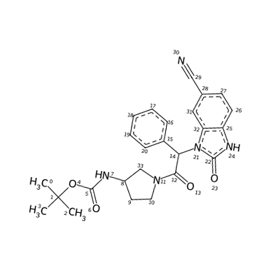 CC(C)(C)OC(=O)NC1CCN(C(=O)C(c2ccccc2)n2c(=O)[nH]c3ccc(C#N)cc32)C1